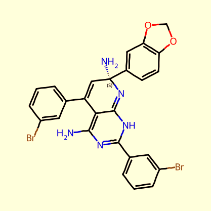 NC1=C2C(c3cccc(Br)c3)=C[C@@](N)(c3ccc4c(c3)OCO4)N=C2NC(c2cccc(Br)c2)=N1